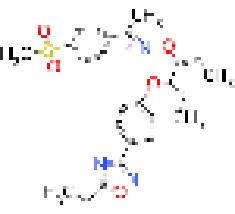 CC=C(O/N=C(\C)c1ccc(S(C)(=O)=O)cc1)C(CC)Oc1ccc(-c2noc(CC)n2)cc1